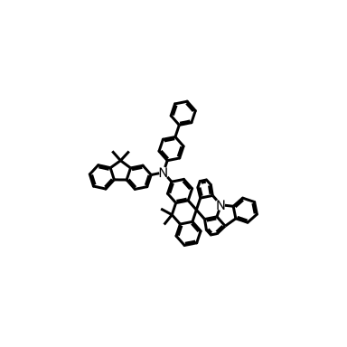 CC1(C)c2ccccc2-c2ccc(N(c3ccc(-c4ccccc4)cc3)c3ccc4c(c3)C(C)(C)c3ccccc3C43c4ccccc4-n4c5ccccc5c5cccc3c54)cc21